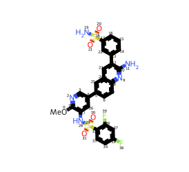 COc1ncc(-c2ccc3nc(N)c(-c4cccc(S(N)(=O)=O)c4)cc3c2)cc1NS(=O)(=O)c1ccc(F)cc1F